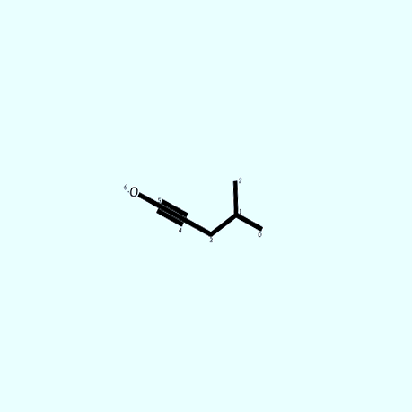 CC(C)CC#C[O]